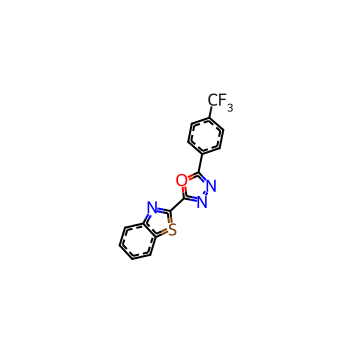 FC(F)(F)c1ccc(-c2nnc(-c3nc4ccccc4s3)o2)cc1